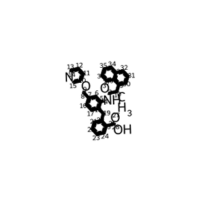 CC(C(=O)Nc1cc(COc2cccnc2)ccc1Cc1ccccc1C(=O)O)c1cccc2ccccc12